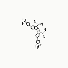 N#CC(C#N)=C1C2=C(C3=C(C2)C(=C(C#N)C#N)c2cc(-c4ccc(C(F)(F)F)cc4)ccc23)c2ccc(-c3ccc(C(F)(F)F)cc3)cc21